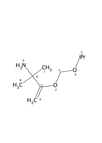 C=C(OCOC(C)C)C(C)(C)N